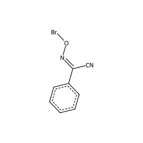 N#CC(=NOBr)c1ccccc1